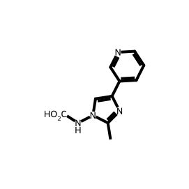 Cc1nc(-c2cccnc2)cn1NC(=O)O